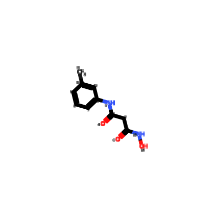 O=C(CC(=O)Nc1cccc(C(F)(F)F)c1)NO